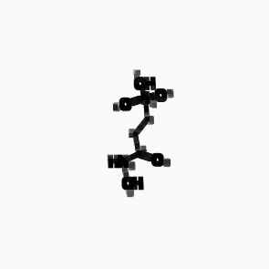 O=C(CCS(=O)(=O)O)NO